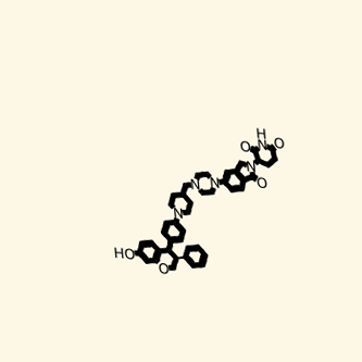 O=C1CCC(N2Cc3cc(N4CCN(CC5CCN(c6ccc(C7c8ccc(O)cc8OC[C@@H]7c7ccccc7)cc6)CC5)CC4)ccc3C2=O)C(=O)N1